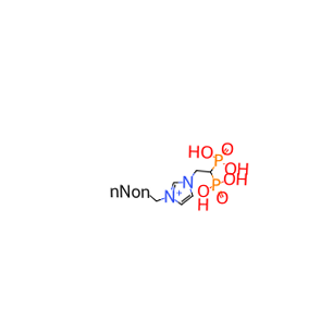 CCCCCCCCCC[n+]1ccn(CC(P(=O)(O)O)P(=O)(O)O)c1